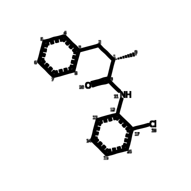 [CH2][C@@H](Cc1ccccc1)C(=O)Nc1ccccc1Cl